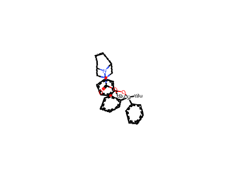 CC(C)(C)OC(=O)N1CC2CCC(C1)N2c1cccc(O[Si](c2ccccc2)(c2ccccc2)C(C)(C)C)c1